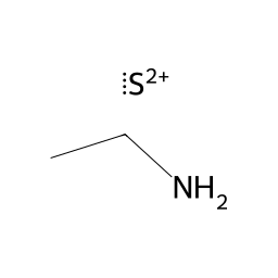 CCN.[S+2]